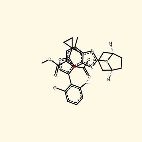 COC(=O)c1cc(C)c2nc(N3[C@@H]4CC[C@H]3C[C@H](OC(=O)c3c(-c5c(Cl)cccc5Cl)noc3C3(F)CC3)C4)sc2c1